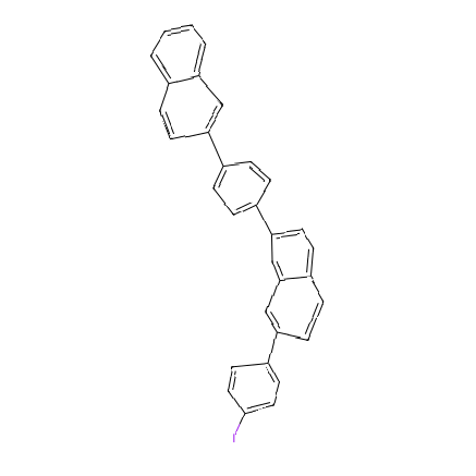 Ic1ccc(-c2ccc3ccc(-c4ccc(-c5ccc6ccccc6c5)cc4)cc3c2)cc1